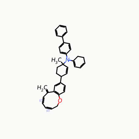 C=C1/C=C\C=C/COc2ccc(C3C=CC(C)(N(C4=CC=CCC4)c4ccc(-c5ccccc5)cc4)CC3)cc21